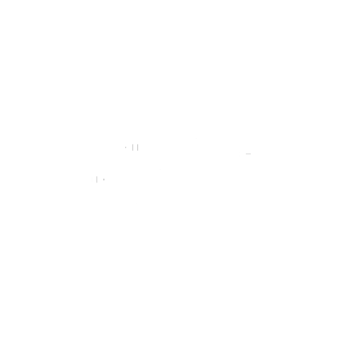 Cc1[c]cc(C(C)(C)C)cc1